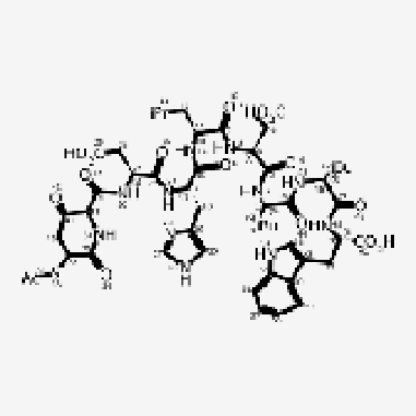 CC[C@H](C)[C@H](NC(=O)[C@H](CC(=O)O)NC(=O)[C@H](CC(C)C)NC(=O)[C@H](Cc1c[nH]cn1)NC(=O)[C@H](CC(=O)O)NC(=O)C1NC(=O)C(SC(C)=O)CC1=O)C(=O)N[C@H](C(=O)N[C@@H](Cc1c[nH]c2ccccc12)C(=O)O)[C@@H](C)CC